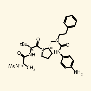 CN[C@@H](C)C(=O)N[C@H](C(=O)N1CCC[C@H]1CN(CCc1ccccc1)C(=O)Nc1ccc(N)cc1)C(C)(C)C